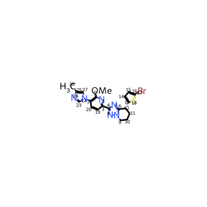 COc1nc(-c2nc3n(n2)CCC[C@H]3c2ccc(Br)s2)ccc1-n1cnc(C)c1